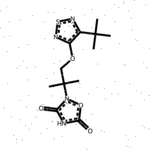 CC(C)(C)c1nsnc1OCC(C)(C)n1oc(=O)[nH]c1=O